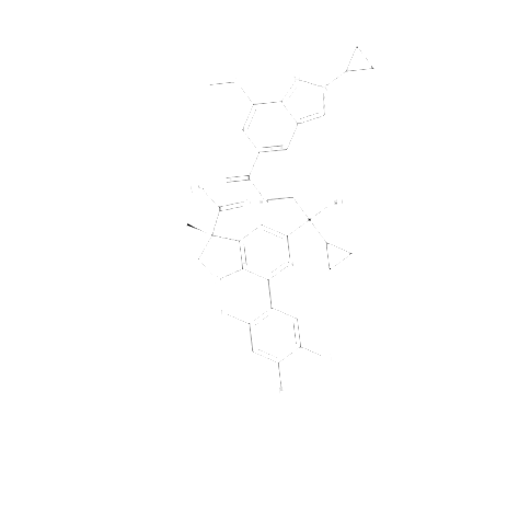 COc1cc(C(=O)NCC(O)(c2cc3c(c(-c4cc(Cl)c(F)cc4F)n2)OC[C@]3(C)C(N)=O)C2CC2)cc2cn(C3CC3)nc12